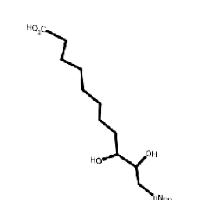 CCCCCCCCCCC(O)C(O)CCCCCCCC(=O)O